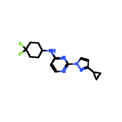 FC1(F)CCC(Nc2ccnc(-n3ccc(C4CC4)n3)n2)CC1